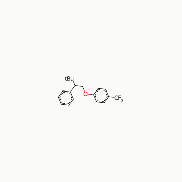 CC(C)(C)C(COc1ccc(C(F)(F)F)cc1)c1ccccc1